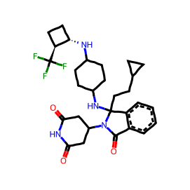 O=C1CC(N2C(=O)c3ccccc3C2(CCC2CC2)NC2CCC(N[C@H]3CC[C@@H]3C(F)(F)F)CC2)CC(=O)N1